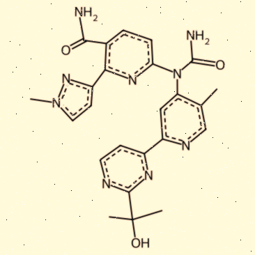 Cc1cnc(-c2ccnc(C(C)(C)O)n2)cc1N(C(N)=O)c1ccc(C(N)=O)c(-c2ccn(C)n2)n1